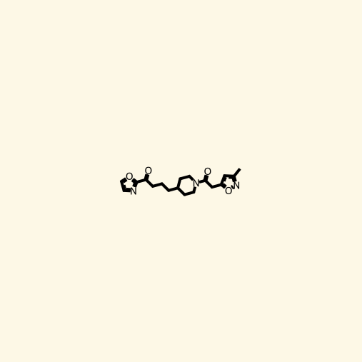 Cc1cc(CC(=O)N2CCC(CCCC(=O)c3ncco3)CC2)on1